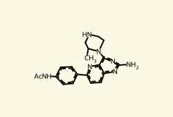 CC(=O)Nc1ccc(-c2ccc3nc(N)nc(N4CCNCC4C)c3n2)cc1